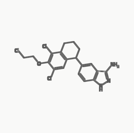 Nc1n[nH]c2ccc(C3CCCc4c3cc(Cl)c(OCCCl)c4Cl)cc12